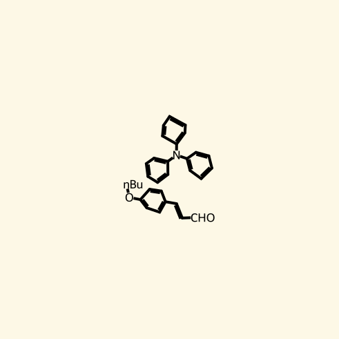 CCCCOc1ccc(C=CC=O)cc1.c1ccc(N(c2ccccc2)c2ccccc2)cc1